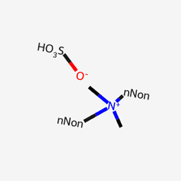 CCCCCCCCC[N+](C)(C)CCCCCCCCC.O=S(=O)([O-])O